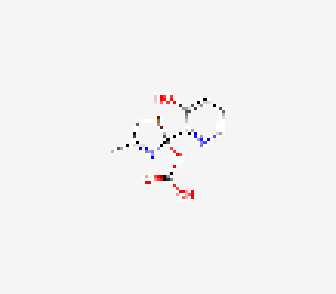 CC1=NC(OC(=O)O)(c2ncccc2O)SC1